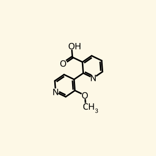 COc1cnccc1-c1ncccc1C(=O)O